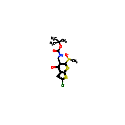 C[S+]([O-])c1sc2sc(Cl)cc2c(=O)c1CNC(=O)OC(C)(C)C